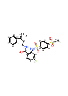 C=C(CCNC(=O)c1ccc(F)cc1NS(=O)(=O)c1ccc(S(C)(=O)=O)cc1)c1ccccc1